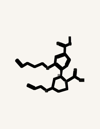 C=CCCCOc1cc(C(=O)OC)ccc1[C@@H]1CC(OCC=C)CCN1C(=O)O